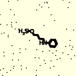 [SiH3]OCCCCNc1ccccc1